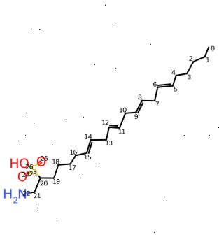 CCCCCC=CCC=CCC=CCC=CCCCCC(CN)S(=O)(=O)O